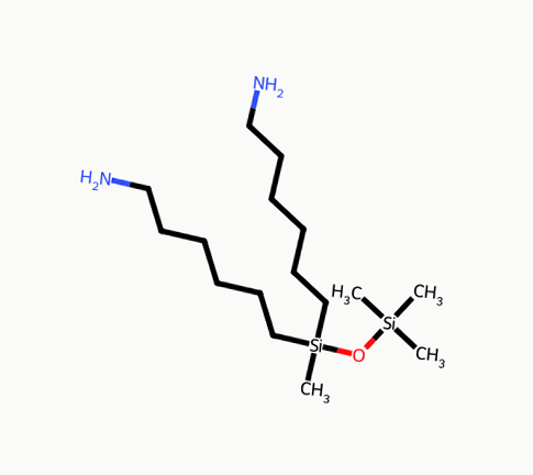 C[Si](C)(C)O[Si](C)(CCCCCCN)CCCCCCN